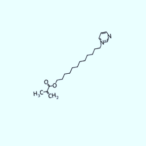 C=C(C)C(=O)OCCCCCCCCCCCC[n+]1cccnc1